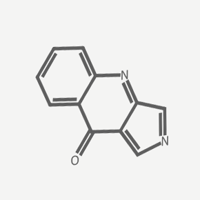 O=C1C2=CN=CC2=Nc2ccccc21